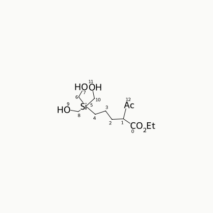 CCOC(=O)C(CCC[Si](CO)(CO)CO)C(C)=O